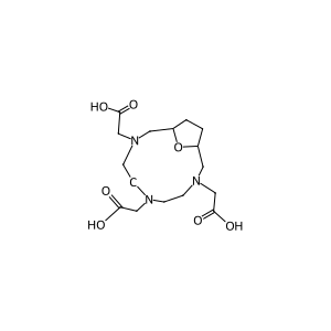 O=C(O)CN1CCN(CC(=O)O)CC2CCC(CN(CC(=O)O)CC1)O2